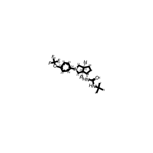 CC(C)(C)NC(=O)N[C@H]1CC[C@@H]2CN(c3ccc(OC(F)(F)F)cc3)C[C@@H]21